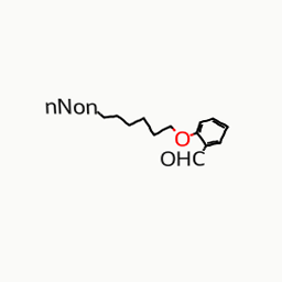 CCCCCCCCCCCCCCCOc1ccccc1C=O